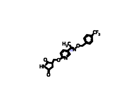 C/C(=N\OCc1ccc(C(F)(F)F)cc1)c1ccc(OCC2CC(=O)NC2=O)nc1